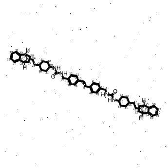 O=C(NCc1ccc(/C=C/c2ccc(CNC(=O)NC3CCC(CCN4[C@@H]5CC[C@H]4c4ccccc45)CC3)cc2)cc1)NC1CCC(CCN2[C@@H]3CC[C@H]2c2ccccc23)CC1